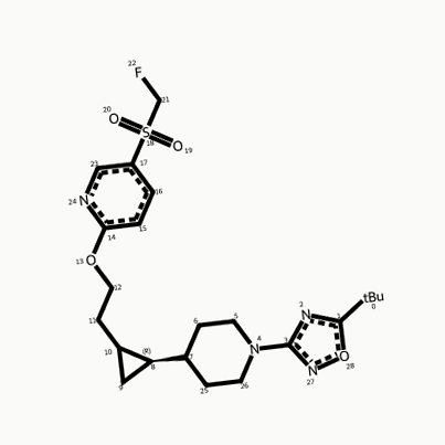 CC(C)(C)c1nc(N2CCC([C@H]3CC3CCOc3ccc(S(=O)(=O)CF)cn3)CC2)no1